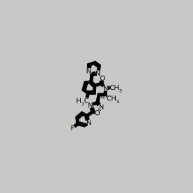 Cc1ccc(-c2ncccn2)c(C(=O)N(C)[C@@H](C)Cc2noc(-c3ccc(F)cn3)n2)c1